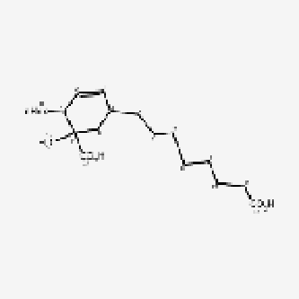 CCCCCCC1C=CC(CCCCCCCC(=O)O)CC1(C)C(=O)O